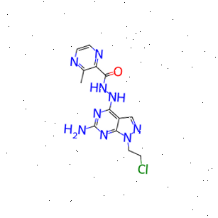 Cc1nccnc1C(=O)NNc1nc(N)nc2c1cnn2CCCl